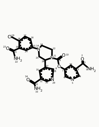 NC(=O)c1cncc(OC(=O)N2CCN(c3ccc(Cl)c(C(N)=O)c3)CC2c2cncc(C(N)=O)c2)c1